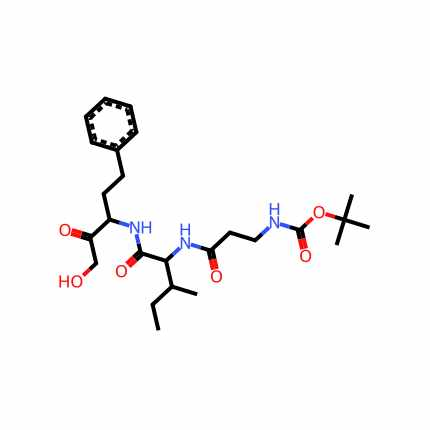 CCC(C)C(NC(=O)CCNC(=O)OC(C)(C)C)C(=O)NC(CCc1ccccc1)C(=O)CO